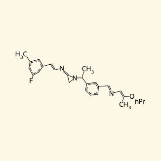 CCCO/C(C)=C/N=C/c1cccc(C(C)N2C/C2=N\C=C\c2cc(C)cc(F)c2)c1